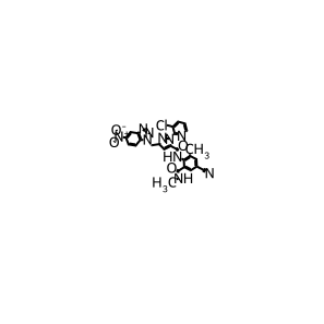 CNC(=O)c1cc(C#N)cc(C)c1NC(=O)c1cc(Cn2nnc3cc([N+](=O)[O-])ccc32)nn1-c1ncccc1Cl